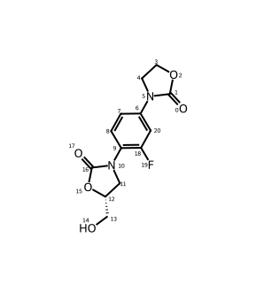 O=C1OCCN1c1ccc(N2C[C@H](CO)OC2=O)c(F)c1